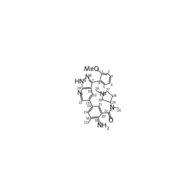 COc1ccccc1-c1n[nH]c2ncc(-c3cc(C)c(N)c(C(=O)N(C)C4CCN(C)C4)c3)cc12